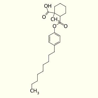 CCCCCCCCCc1ccc(OC(=O)C2CCCCC2(C)C(=O)O)cc1